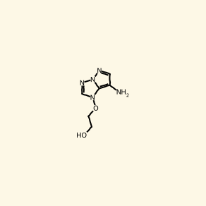 Nc1cnn2ncn(OCCO)c12